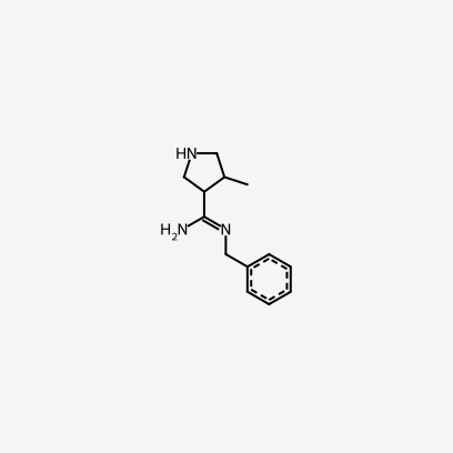 CC1CNCC1C(N)=NCc1ccccc1